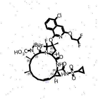 CCC(C)N(C(=O)O)[C@@H]1C(=O)N2[C@@H](C[C@@](C)(Oc3nc(OCC(F)F)cc4c(Cl)cccc34)C2(F)F)C(=O)N[C@]2(C(=O)NS(=O)(=O)C3CC3)C[C@H]2/C=C\CC[C@@H](C)C[C@H]1C